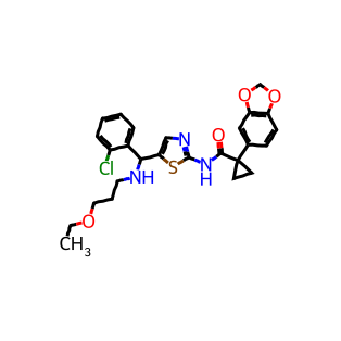 CCOCCCNC(c1cnc(NC(=O)C2(c3ccc4c(c3)OCO4)CC2)s1)c1ccccc1Cl